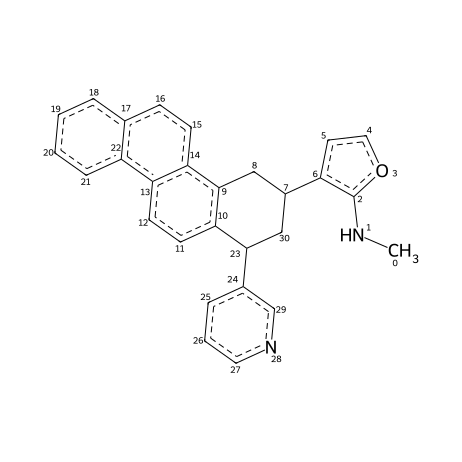 CNc1occc1C1Cc2c(ccc3c2ccc2ccccc23)C(c2cccnc2)C1